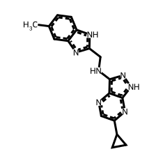 Cc1ccc2[nH]c(CNc3n[nH]c4nc(C5CC5)cnc34)nc2c1